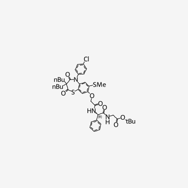 CCCCC1(CCCC)C(=O)Sc2cc(OCC(=O)N[C@@H](C(=O)NCC(=O)OC(C)(C)C)c3ccccc3)c(SC)cc2N(c2ccc(Cl)cc2)C1=O